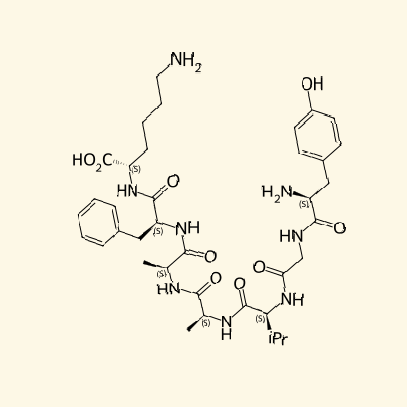 CC(C)[C@H](NC(=O)CNC(=O)[C@@H](N)Cc1ccc(O)cc1)C(=O)N[C@@H](C)C(=O)N[C@@H](C)C(=O)N[C@@H](Cc1ccccc1)C(=O)N[C@@H](CCCCN)C(=O)O